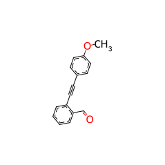 COc1ccc(C#Cc2ccccc2C=O)cc1